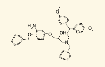 COc1ccc(C(CCN(Cc2ccccc2)CC(O)COc2ccc(OCc3ccccc3)c(N)c2)c2ccc(OC)cc2)cc1